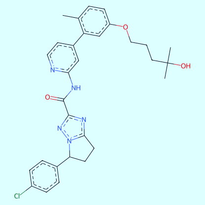 Cc1ccc(OCCCC(C)(C)O)cc1-c1ccnc(NC(=O)c2nc3n(n2)C(c2ccc(Cl)cc2)CC3)c1